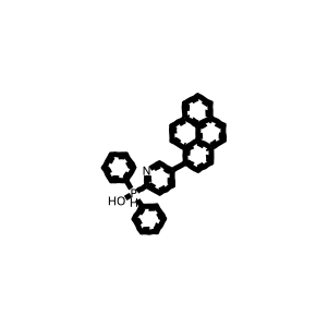 O[PH](c1ccccc1)(c1ccccc1)c1ccc(-c2ccc3ccc4cccc5ccc2c3c45)cn1